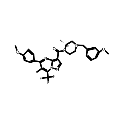 COc1ccc(-c2nc3c(C(=O)N4CCN(Cc5cccc(OC)c5)C[C@H]4C)cnn3c(C(F)(F)F)c2C)cc1